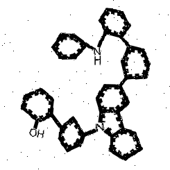 Oc1ccccc1-c1cccc(-n2c3ccccc3c3cc(-c4cccc(-c5ccccc5Nc5ccccc5)c4)ccc32)c1